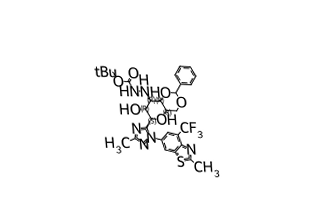 Cc1nc([C@@H]2O[C@@H]3COC(c4ccccc4)O[C@@H]3[C@H](NNC(=O)OC(C)(C)C)[C@H]2O)n(-c2cc(C(F)(F)F)c3nc(C)sc3c2)n1